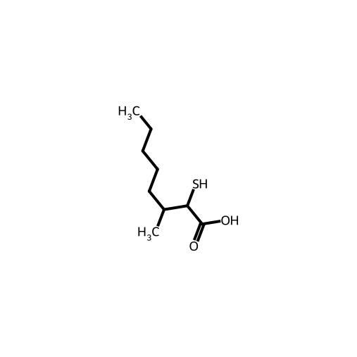 CCCCCC(C)C(S)C(=O)O